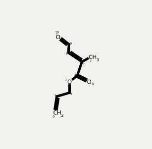 C=CCOC(=O)C(C)=CC=O